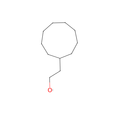 [O]CCC1CCCCCCCC1